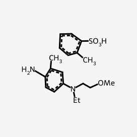 CCN(CCOC)c1ccc(N)c(C)c1.Cc1ccccc1S(=O)(=O)O